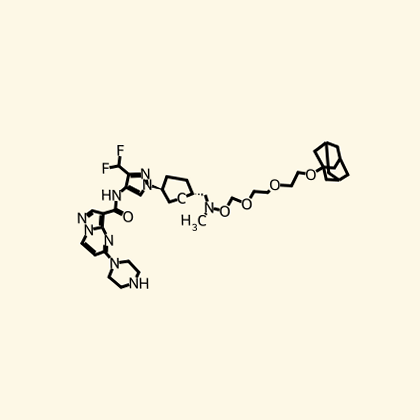 CN(C[C@H]1CC[C@H](n2cc(NC(=O)c3cnn4ccc(N5CCNCC5)nc34)c(C(F)F)n2)CC1)OCOCCOCCOC12CC3CC(CC(C3)C1)C2